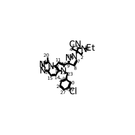 CCN1CC(CC#N)(n2ccc(-c3cc4c(ccc5nnc(C)n54)n3Cc3cccc(Cl)c3)n2)C1